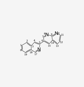 c1ccc2cc(-c3cnc4ncccc4c3)ncc2c1